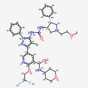 COCCN1C[C@@H](NC(=O)Nc2c(C)c(-c3cnc(OCC(F)F)c(C(O)NC4CCOCC4)c3)nn2-c2ccccc2)[C@H](c2ccccc2)C1